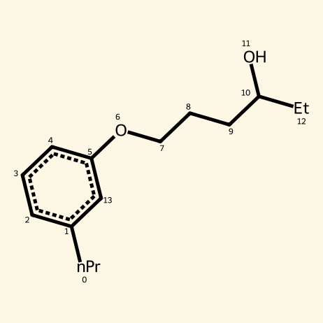 C[CH]Cc1cccc(OCCCC(O)CC)c1